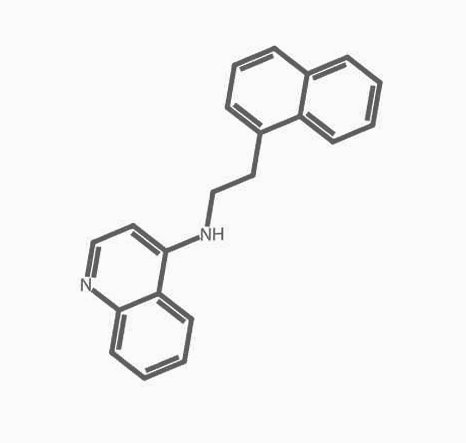 c1ccc2c(CCNc3ccnc4ccccc34)cccc2c1